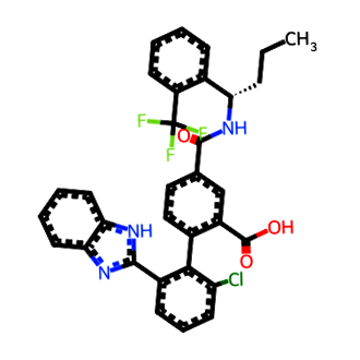 CCC[C@H](NC(=O)c1ccc(-c2c(Cl)cccc2-c2nc3ccccc3[nH]2)c(C(=O)O)c1)c1ccccc1C(F)(F)F